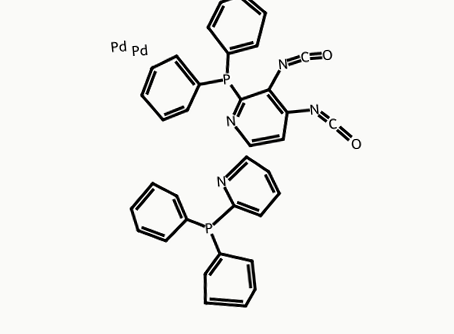 O=C=Nc1ccnc(P(c2ccccc2)c2ccccc2)c1N=C=O.[Pd].[Pd].c1ccc(P(c2ccccc2)c2ccccn2)cc1